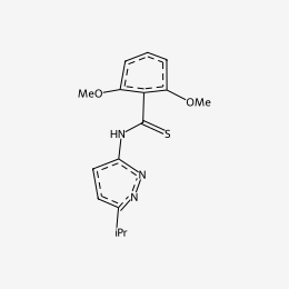 COc1cccc(OC)c1C(=S)Nc1ccc(C(C)C)nn1